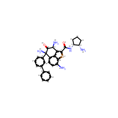 Nc1ccc2c3c(c(C(=O)N[C@@H]4CCC[C@@H]4N)sc13)C(N)C(=O)C2(N)c1cccc(-c2ccccc2)c1